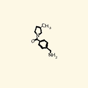 C[C@H]1CCN(C(=O)c2ccc(CN)cc2)C1